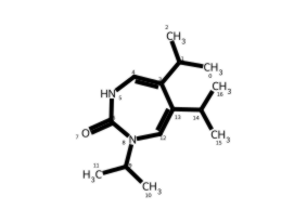 CC(C)C1=CNC(=O)N(C(C)C)C=C1C(C)C